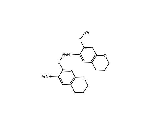 CCCOc1cc2c(cc1NC(C)=O)CCCO2.CCCOc1cc2c(cc1NC(C)=O)CCCO2